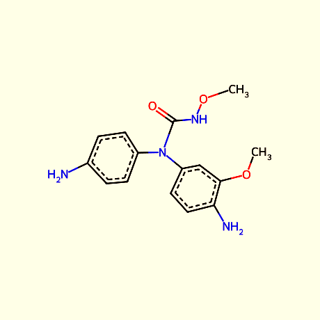 CONC(=O)N(c1ccc(N)cc1)c1ccc(N)c(OC)c1